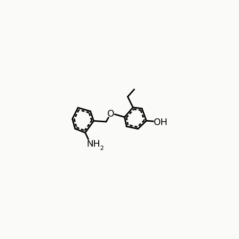 CCc1cc(O)ccc1OCc1ccccc1N